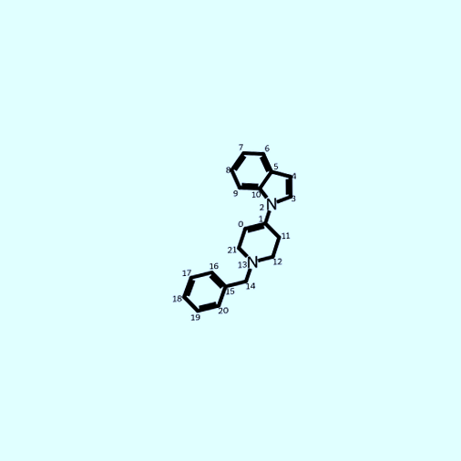 C1=C(n2ccc3ccccc32)CCN(Cc2ccccc2)C1